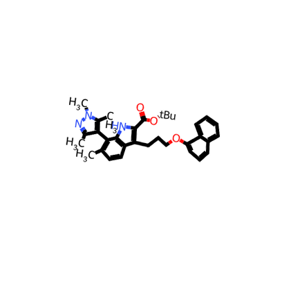 Cc1ccc2c(CCCOc3cccc4ccccc34)c(C(=O)OC(C)(C)C)[nH]c2c1-c1c(C)nn(C)c1C